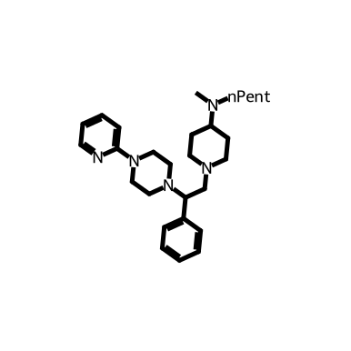 CCCCCN(C)C1CCN(CC(c2ccccc2)N2CCN(c3ccccn3)CC2)CC1